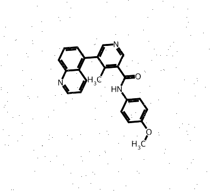 COc1ccc(NC(=O)c2cncc(-c3cccc4ncccc34)c2C)cc1